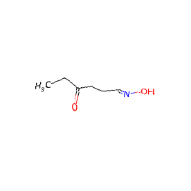 CCC(=O)CCC=NO